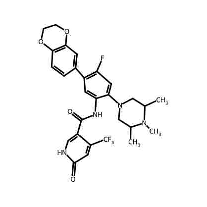 CC1CN(c2cc(F)c(-c3ccc4c(c3)OCCO4)cc2NC(=O)c2c[nH]c(=O)cc2C(F)(F)F)CC(C)N1C